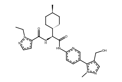 CCn1nccc1C(=O)N[C@H](C(=O)Nc1ccc(-c2c(CO)cnn2C)cn1)[C@H]1CC[C@H](C)CC1